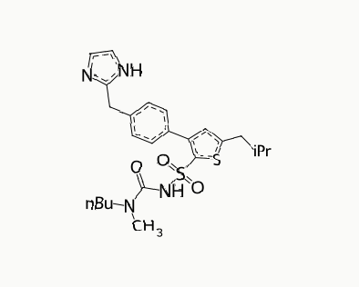 CCCCN(C)C(=O)NS(=O)(=O)c1sc(CC(C)C)cc1-c1ccc(Cc2ncc[nH]2)cc1